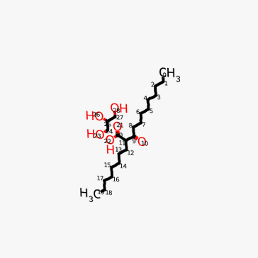 CCCCCCCCCC(=O)C(CCCCCCCC)C(=O)O.OCC(O)CO